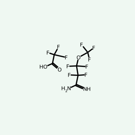 N=C(N)C(F)(F)C(F)(F)OC(F)(F)F.O=C(O)C(F)(F)F